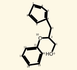 OC[C](Cc1ccccc1)Oc1ccccc1